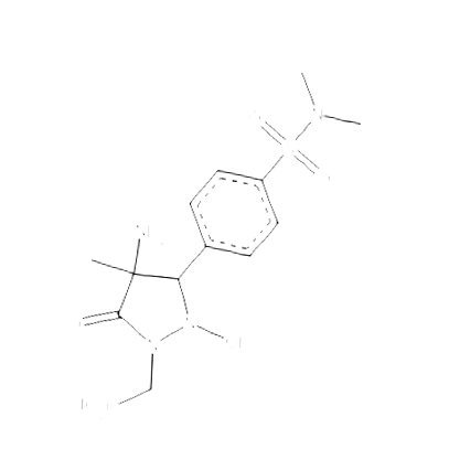 CN(C)S(=O)(=O)c1ccc(C2N(O)N(CC(=O)O)C(=O)C2(C)N)cc1